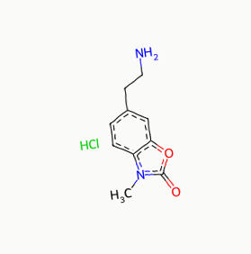 Cl.Cn1c(=O)oc2cc(CCN)ccc21